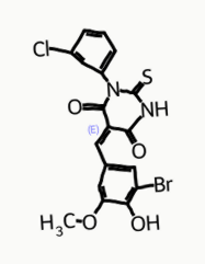 COc1cc(/C=C2\C(=O)NC(=S)N(c3cccc(Cl)c3)C2=O)cc(Br)c1O